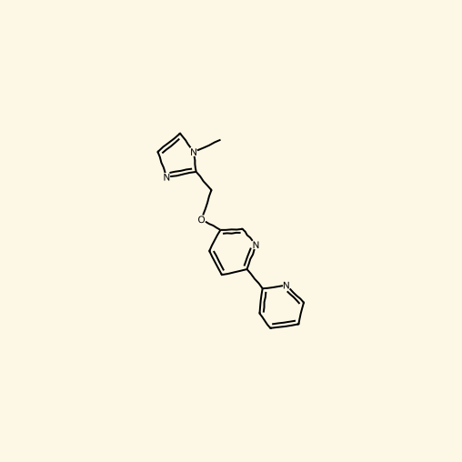 Cn1ccnc1COc1ccc(-c2ccccn2)nc1